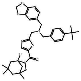 CC1(C)C[C@H]2CC(C)(CN2C(=O)c2cnc(CN(Cc3ccc(C(C)(C)C)cc3)Cc3ccc4c(c3)OCO4)s2)C1